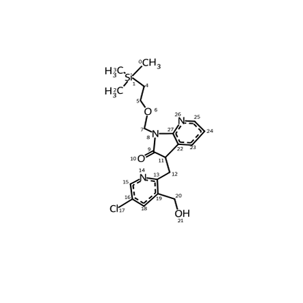 C[Si](C)(C)CCOCN1C(=O)C(Cc2ncc(Cl)cc2CO)c2cccnc21